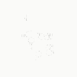 O=C(CC1CCNCC1)Nc1cncc(-c2cc3c(-c4cc5c(-c6cc(O)cc(F)c6)ccnc5[nH]4)n[nH]c3cn2)c1